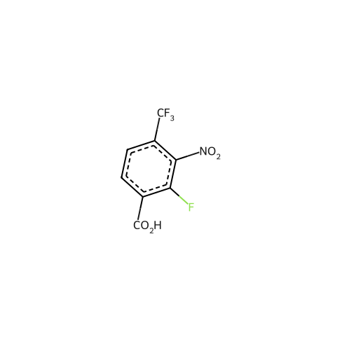 O=C(O)c1ccc(C(F)(F)F)c([N+](=O)[O-])c1F